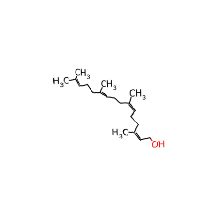 CC(C)=CCC/C(C)=C/CC/C(C)=C\CC/C(C)=C\CO